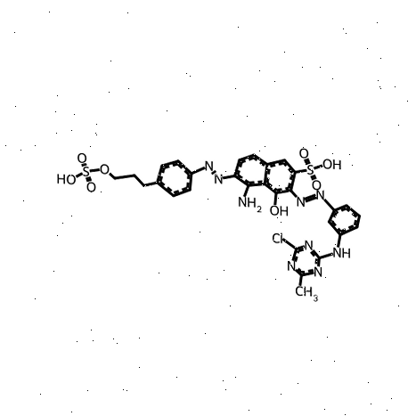 Cc1nc(Cl)nc(Nc2cccc(/N=N/c3c(S(=O)(=O)O)cc4ccc(/N=N/c5ccc(CCCOS(=O)(=O)O)cc5)c(N)c4c3O)c2)n1